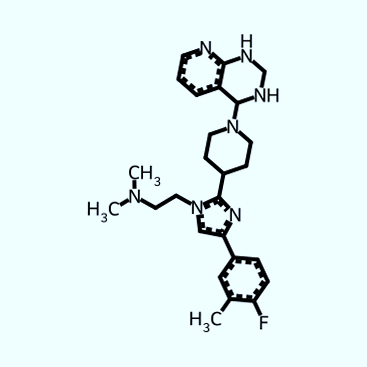 Cc1cc(-c2cn(CCN(C)C)c(C3CCN(C4NCNc5ncccc54)CC3)n2)ccc1F